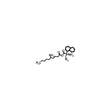 CCCCCC(N)CCCC(=O)OC(=O)[C@@](C)(N)c1cccc2ccccc12